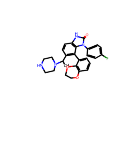 CC(c1ccc2[nH]c(=O)n(-c3ccc(F)cc3)c2c1-c1cccc2c1OCCO2)N1CCNCC1